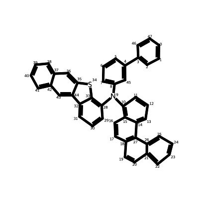 c1ccc(-c2cccc(N(c3cccc4c3ccc3ccc5ccccc5c34)c3cccc4c3sc3cc5ccccc5cc34)c2)cc1